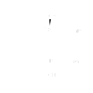 CC(C)C[P@](C)c1ccccc1[P@@](C)CC(C)C